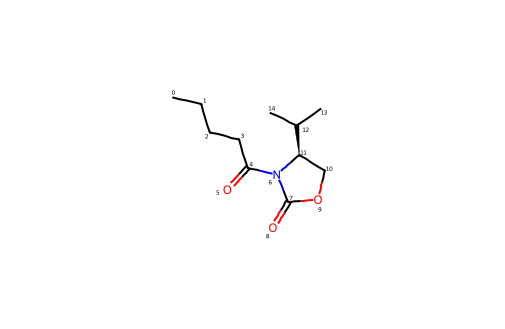 CCCCC(=O)N1C(=O)OC[C@@H]1C(C)C